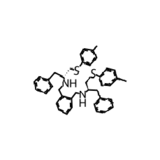 Cc1ccc(SC[C@@H](Cc2ccccc2)NCc2ccccc2CN[C@@H](CSc2ccc(C)cc2)Cc2ccccc2)cc1